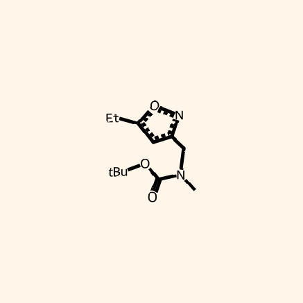 CCc1cc(CN(C)C(=O)OC(C)(C)C)no1